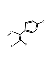 CN/C(=C(/F)S)c1ccc(Cl)cc1